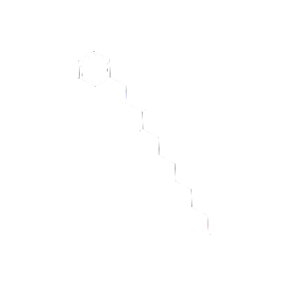 BrCCCCCCCCCNCc1ccccc1